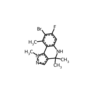 Cc1c(Br)c(F)cc2c1-c1c(cnn1C)C(C)(C)N2